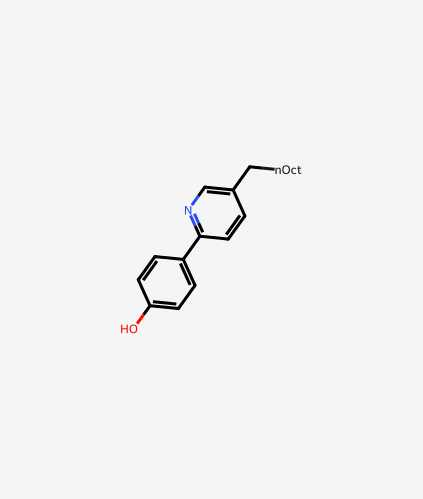 CCCCCCCCCc1ccc(-c2ccc(O)cc2)nc1